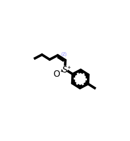 CCC/C=C\[S+]([O-])c1ccc(C)cc1